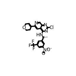 C[C@@H](Nc1nc(Cl)nc2cnc(C3=CCOCC3)cc12)c1cc([N+](=O)[O-])cc(C(F)(F)F)c1